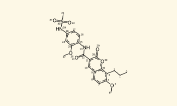 CCCc1c(OC)ccc2cc(C(=O)Nc3ccc(NS(C)(=O)=O)cc3OC)c(=O)oc12